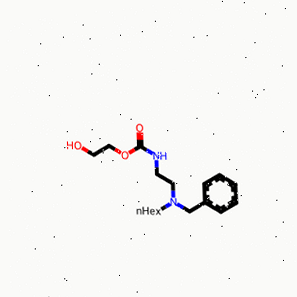 CCCCCCN(CCNC(=O)OCCO)Cc1ccccc1